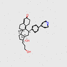 C[C@@]12C[C@H](c3ccc(-c4ccncc4)cc3)C3=C4CCC(=O)C=C4CC[C@H]3[C@@H]1CC[C@]2(O)CCCO